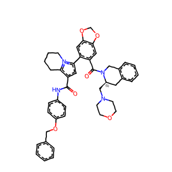 O=C(Nc1ccc(OCc2ccccc2)cc1)c1cc(-c2cc3c(cc2C(=O)N2Cc4ccccc4C[C@H]2CN2CCOCC2)OCO3)n2c1CCCC2